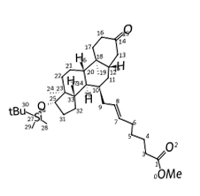 COC(=O)CCCCC=CC[C@@H]1C[C@H]2CC(=O)CC[C@]2(C)[C@H]2CC[C@]3(C)[C@@H](O[Si](C)(C)C(C)(C)C)CC[C@H]3[C@H]12